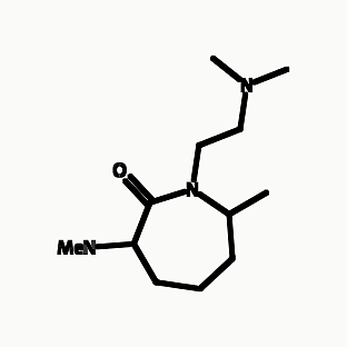 CNC1CCCC(C)N(CCN(C)C)C1=O